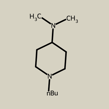 CCCCN1CCC(N(C)C)CC1